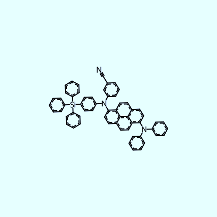 N#Cc1cccc(N(c2ccc([Si](c3ccccc3)(c3ccccc3)c3ccccc3)cc2)c2ccc3ccc4c(N(c5ccccc5)c5ccccc5)ccc5ccc2c3c54)c1